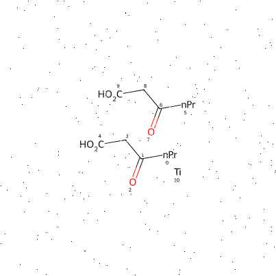 CCCC(=O)CC(=O)O.CCCC(=O)CC(=O)O.[Ti]